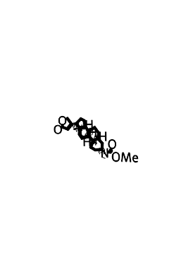 COC(=O)N(C)[C@H]1CC[C@@]2(C)[C@H](CC[C@@H]3[C@@H]2CC[C@]2(C)[C@@H](C4=CC(=O)OC4)CC[C@]32O)C1